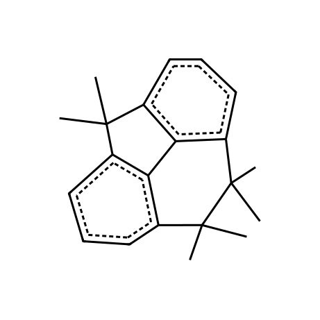 CC1(C)c2cccc3c2-c2c1cccc2C(C)(C)C3(C)C